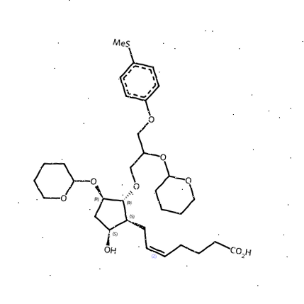 CSc1ccc(OCC(CO[C@@H]2[C@@H](C/C=C\CCCC(=O)O)[C@@H](O)C[C@H]2OC2CCCCO2)OC2CCCCO2)cc1